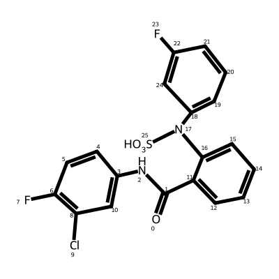 O=C(Nc1ccc(F)c(Cl)c1)c1ccccc1N(c1cccc(F)c1)S(=O)(=O)O